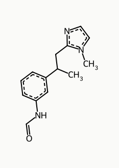 CC(Cc1nccn1C)c1cccc(NC=O)c1